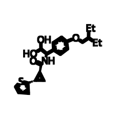 CCC(CC)COc1ccc([C@@H](NC(=O)[C@H]2C[C@@H]2c2cccs2)C(O)O)cc1